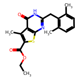 CCOC(=O)c1sc2nc(Cc3c(C)cccc3C)[nH]c(=O)c2c1C